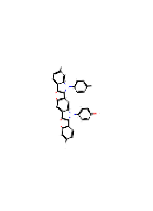 Cc1ccc(-n2c3cc(C)ccc3c3oc4cc5c6oc7cc(C)ccc7c6n(-c6ccc(O)cc6)c5cc4c32)cc1